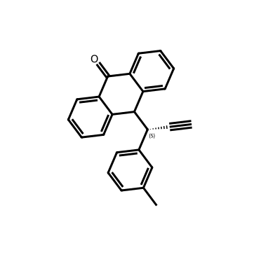 C#C[C@H](c1cccc(C)c1)C1c2ccccc2C(=O)c2ccccc21